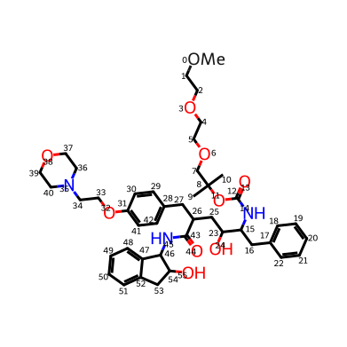 COCCOCCOCC(C)(C)OC(=O)NC(Cc1ccccc1)C(O)CC(Cc1ccc(OCCN2CCOCC2)cc1)C(=O)NC1c2ccccc2CC1O